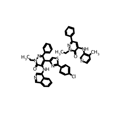 CCn1nc(-c2ccccc2)c(-c2csc(-c3ccc(Cl)cc3)n2)c(Nc2cncc3ccccc23)c1=O.CCn1nc(-c2ccccc2)cc(Nc2cnccc2C)c1=O